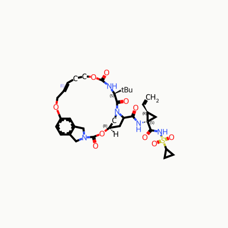 C=C[C@H]1C[C@@]1(NC(=O)C1C[C@@H]2CN1C(=O)[C@H](C(C)(C)C)NC(=O)OCC/C=C/COc1ccc3c(c1)CN(C3)C(=O)O2)C(=O)NS(=O)(=O)C1CC1